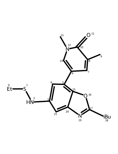 CCSNc1cc(-c2cc(C)c(=O)n(C)c2)c2oc(C(C)CC)nc2c1